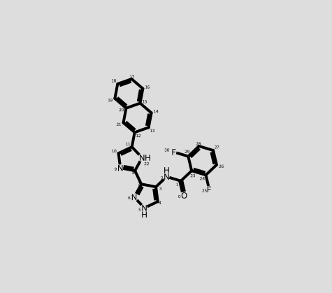 O=C(Nc1c[nH]nc1-c1ncc(-c2ccc3ccccc3c2)[nH]1)c1c(F)cccc1F